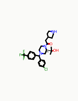 CC(C)(O)[C@H]1CN(C(c2ccc(Cl)cc2)c2ccc(C(F)(F)F)cc2)CCN1C(=O)CC1CCNCC1